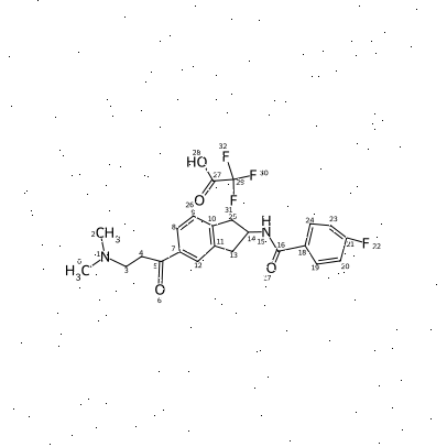 CN(C)CCC(=O)c1ccc2c(c1)CC(NC(=O)c1ccc(F)cc1)C2.O=C(O)C(F)(F)F